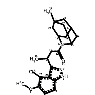 COc1ccc2[nH]nc(C(C)CC(=O)N3C4CC5CC3CC(C)(C5)C4)c2c1Cl